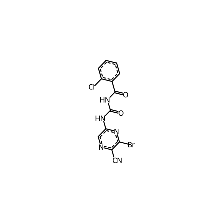 N#Cc1ncc(NC(=O)NC(=O)c2ccccc2Cl)nc1Br